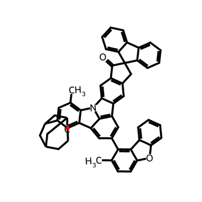 Cc1ccc2oc3ccccc3c2c1-c1cc2c3cc4c(cc3n3c5c(C)cc6c(c5c(c1)c23)C1CC2CC(CC6C2)C1)C(=O)C1(C4)c2ccccc2-c2ccccc21